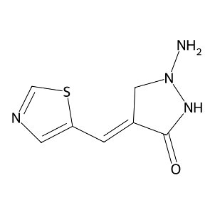 NN1CC(=Cc2cncs2)C(=O)N1